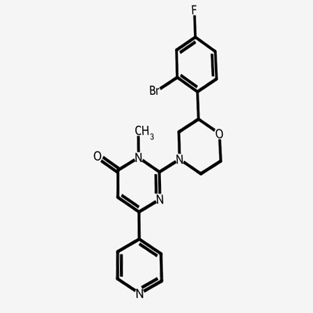 Cn1c(N2CCOC(c3ccc(F)cc3Br)C2)nc(-c2ccncc2)cc1=O